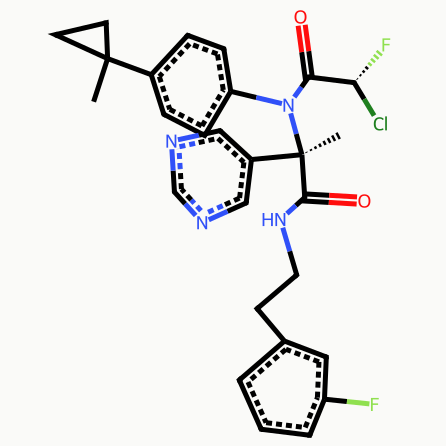 CC1(c2ccc(N(C(=O)[C@H](F)Cl)[C@@](C)(C(=O)NCCc3cccc(F)c3)c3cncnc3)cc2)CC1